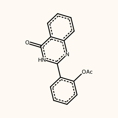 CC(=O)Oc1ccccc1-c1nc2ccccc2c(=O)[nH]1